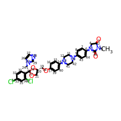 CN1C(=O)CN(c2ccc(N3CCN(c4ccc(OC[C@@H]5CO[C@@](Cn6ccnc6)(c6ccc(Cl)cc6Cl)O5)cc4)CC3)cc2)C1=O